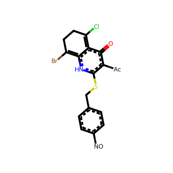 CC(=O)c1c(SCc2ccc(N=O)cc2)[nH]c2c(c1=O)=C(Cl)CCC=2Br